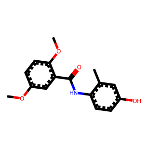 COc1ccc(OC)c(C(=O)Nc2ccc(O)cc2C)c1